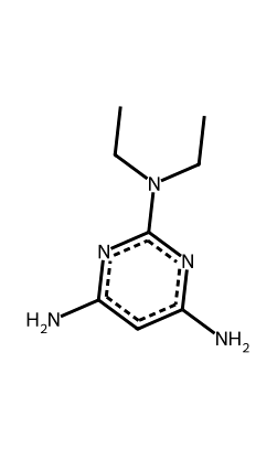 CCN(CC)c1nc(N)cc(N)n1